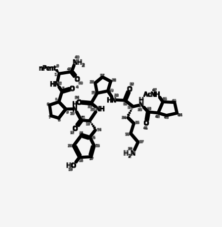 CCCCC[C@@H](NC(=O)C1CCCC1NC(=O)[C@@H](Cc1ccc(O)cc1)NC(=O)C1CCCC1NC(=O)[C@@H](CCCCN)NC(=O)C1CCCC1NC(C)=O)C(N)=O